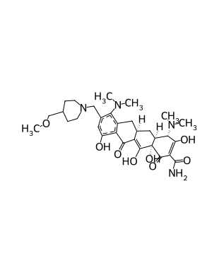 COCC1CCN(Cc2cc(O)c3c(c2N(C)C)C[C@H]2C[C@H]4[C@H](N(C)C)C(O)=C(C(N)=O)C(=O)[C@@]4(O)C(O)=C2C3=O)CC1